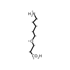 NCCCCCOCCC(=O)O